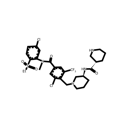 CCS(=O)(=O)c1ccc(Cl)cc1N(C)C(=O)c1cc(Cl)c(CN2CCC[C@H](NC(=O)[C@H]3CCCNC3)C2)c(C(F)(F)F)c1